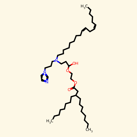 CCCCC/C=C\C/C=C\CCCCCCCCN(CCCn1ccnc1)CCC(O)OCCOC(=O)CC(CCCCCCCC)CCCCCCCC